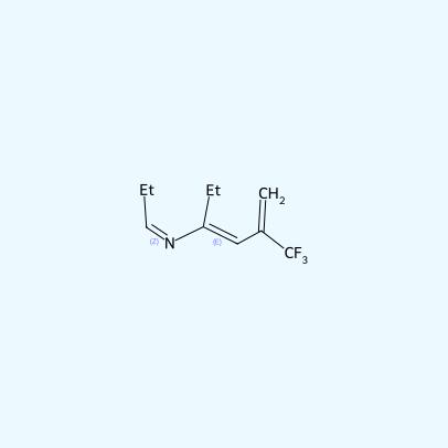 C=C(/C=C(CC)/N=C\CC)C(F)(F)F